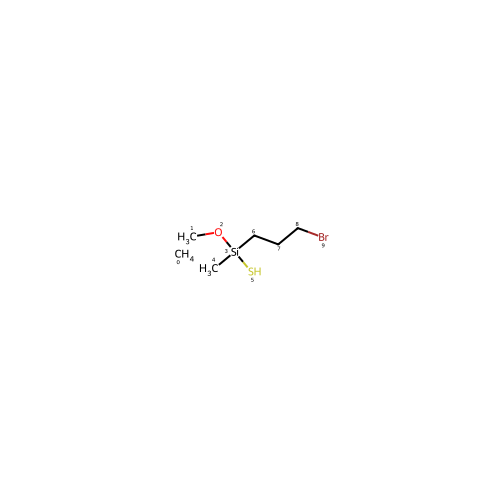 C.CO[Si](C)(S)CCCBr